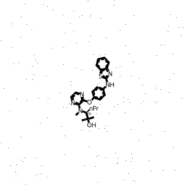 CCC[C@H](N(C)c1nccnc1Oc1ccc(Nc2nc3ccccc3s2)cc1)C(C)(C)O